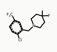 CC1(F)CCN(Cc2cc(C(F)(F)F)ccc2Cl)CC1